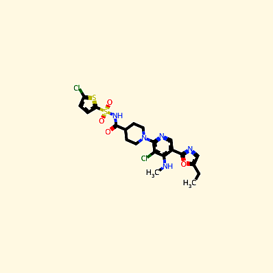 CCc1cnc(-c2cnc(N3CCC(C(=O)NS(=O)(=O)c4ccc(Cl)s4)CC3)c(Cl)c2NC)o1